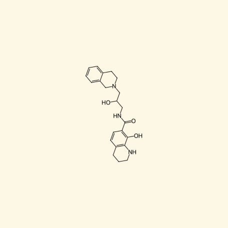 O=C(NCC(O)CN1CCc2ccccc2C1)c1ccc2c(c1O)NCCC2